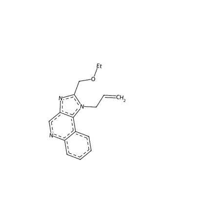 C=CCn1c(COCC)nc2cnc3ccccc3c21